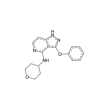 c1ccc(Oc2n[nH]c3ccnc(NC4CCOCC4)c23)cc1